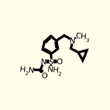 CN(Cc1cccc(S(N)(=O)=NC(N)=O)c1)CC1CC1